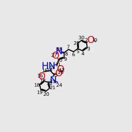 COc1ccc(CCc2cc(C(=O)NC3COc4ccccc4N(C)C3=O)on2)cc1